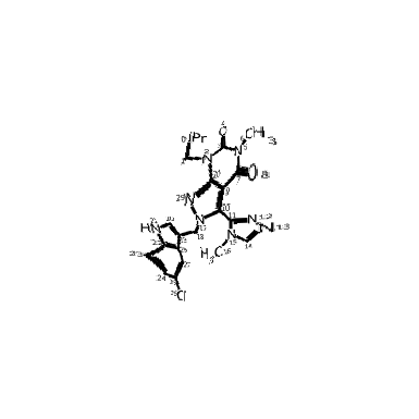 CC(C)Cn1c(=O)n(C)c(=O)c2c(-c3nncn3C)n(Cc3c[nH]c4ccc(Cl)cc34)nc21